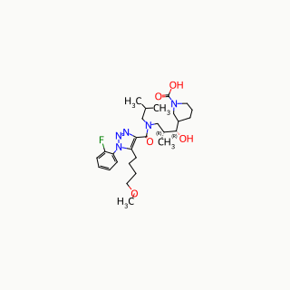 COCCCCc1c(C(=O)N(CC(C)C)C[C@@H](C)[C@@H](O)C2CCCN(C(=O)O)C2)nnn1-c1ccccc1F